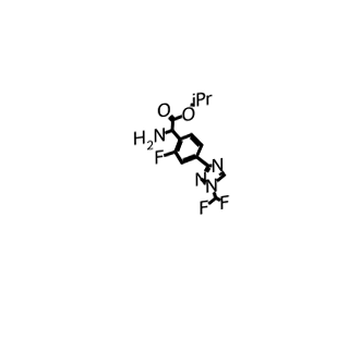 CC(C)OC(=O)C(N)c1ccc(-c2ncn(C(F)F)n2)cc1F